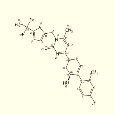 Cc1cc(F)ccc1C1=CCN(c2nc(C)n(Cc3ccc(C(C)(F)F)s3)c(=O)n2)C[C@@H]1O